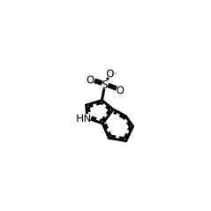 [O]S(=O)(=O)c1c[nH]c2ccccc12